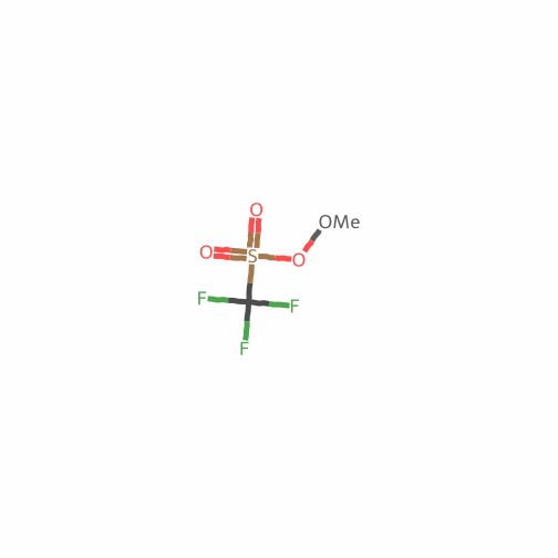 COOS(=O)(=O)C(F)(F)F